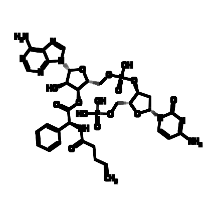 C=CCCC(=O)N[C@H](C(=O)O[C@H]1[C@@H](O)[C@H](n2cnc3c(N)ncnc32)O[C@@H]1COP(=O)(O)O[C@H]1C[C@H](n2ccc(N)nc2=O)O[C@@H]1COP(=O)(O)O)c1ccccc1